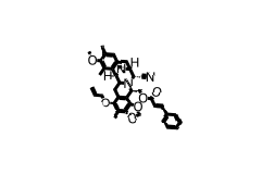 C=CCOc1c(C)c2c(c3c1CC1[C@H]4c5c(cc(C)c(OC)c5C)C[C@H]([C@H](C#N)N1[C@H]3COC(=O)/C=C/c1ccccc1)N4C)OCO2